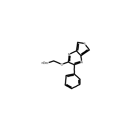 CCCCCCCCCCCOc1nc2cscc2nc1-c1ccccc1